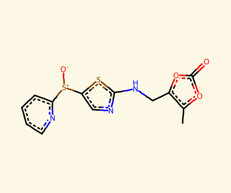 Cc1oc(=O)oc1CNc1ncc([S+]([O-])c2ccccn2)s1